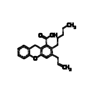 C=CCc1cc2c(c(C(=O)O)c1CCCCC)Cc1ccccc1O2